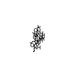 C=CCNC(=O)C(=O)C(CCC)NC(=O)[C@@H]1[C@@H]2[C@H](CN1C(=O)[C@@H](NC(=O)OC(C)(C)C)C(C)(C)C)C2(C)C